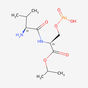 CC(C)OC(=O)[C@H](CO[PH](=O)O)NC(=O)[C@@H](N)C(C)C